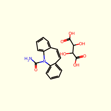 NC(=O)N1c2ccccc2C=Cc2ccccc21.O=C(O)C(O)C(O)C(=O)O